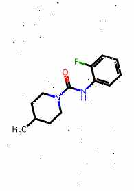 CC1CCN(C(=O)Nc2ccccc2F)CC1